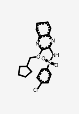 O=S(=O)(Nc1nc2ccccc2nc1OCC1CCCC1)c1ccc(Cl)cc1